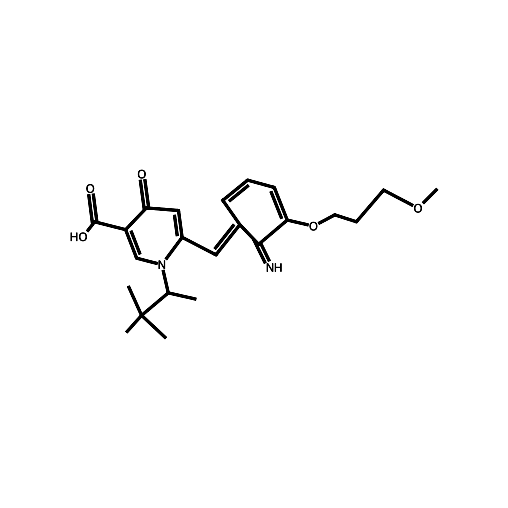 COCCCOC1=CC=C/C(=C\c2cc(=O)c(C(=O)O)cn2C(C)C(C)(C)C)C1=N